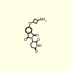 NC1CC(Oc2ccc3c(c2)C(=O)N(C2CCC(=O)NC2=O)C3=O)C1